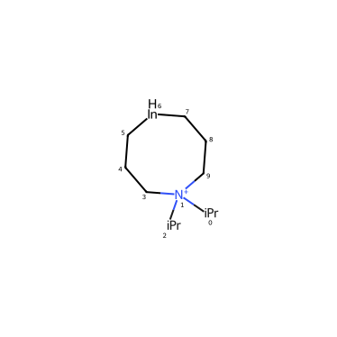 CC(C)[N+]1(C(C)C)CC[CH2][InH][CH2]CC1